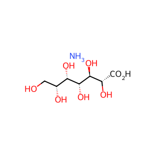 N.O=C(O)[C@H](O)[C@H](O)[C@H](O)[C@@H](O)[C@H](O)CO